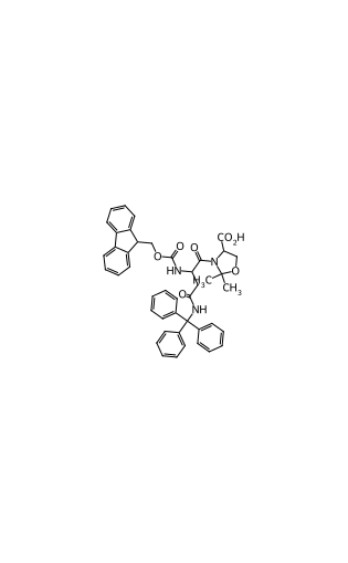 CC1(C)OCC(C(=O)O)N1C(=O)C(CC(=O)NC(c1ccccc1)(c1ccccc1)c1ccccc1)NC(=O)OCC1c2ccccc2-c2ccccc21